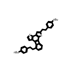 CCCCc1ccc(CCc2cc3c(s2)c2c(c4ccsc43)-c3c(CCc4ccc(CCCC)cc4)cccc3-2)cc1